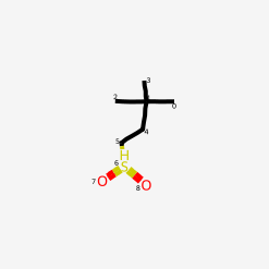 CC(C)(C)CC[SH](=O)=O